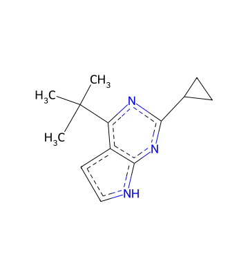 CC(C)(C)c1nc(C2CC2)nc2[nH]ccc12